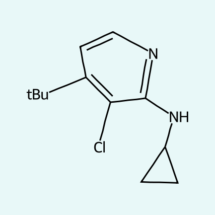 CC(C)(C)c1ccnc(NC2CC2)c1Cl